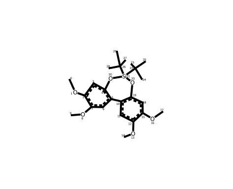 COc1cc2c(cc1OC)-c1cc(OC)c(OC)cc1O[Si](C(C)(C)C)(C(C)(C)C)O2